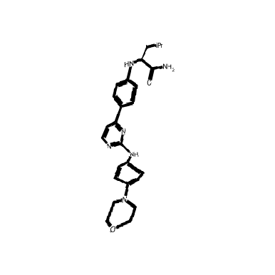 CC(C)C[C@H](Nc1ccc(-c2ccnc(Nc3ccc(N4CCOCC4)cc3)n2)cc1)C(N)=O